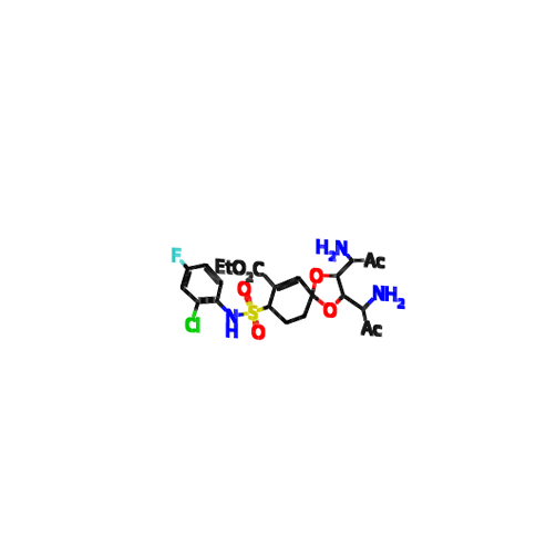 CCOC(=O)C1=CC2(CCC1S(=O)(=O)Nc1ccc(F)cc1Cl)OC(C(N)C(C)=O)C(C(N)C(C)=O)O2